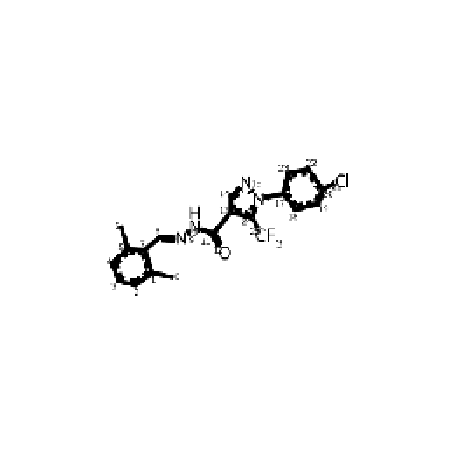 Cc1cccc(C)c1C=NNC(=O)c1cnn(-c2ccc(Cl)cc2)c1C(F)(F)F